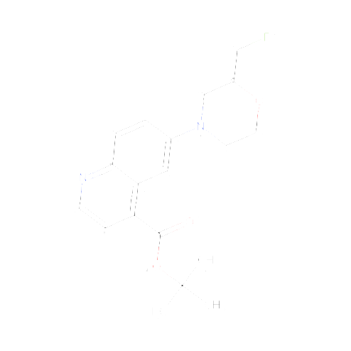 CC(C)(C)OC(=O)c1ccnc2ccc(N3CCOC(CF)C3)cc12